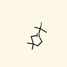 CC1(C)CCN(C(C)(C)I)C1